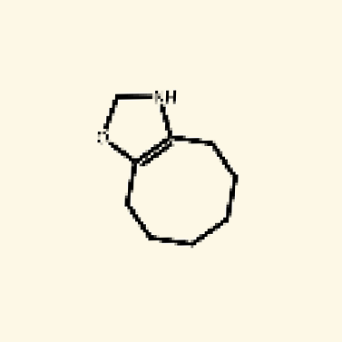 C1CCCC2=C(CC1)NCO2